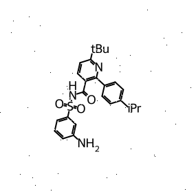 CC(C)c1ccc(-c2nc(C(C)(C)C)ccc2C(=O)NS(=O)(=O)c2cccc(N)c2)cc1